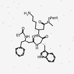 CCCCCN(C)C(=O)CC(CCCCN)NC(=O)[C@H](Cc1c[nH]c2ccccc12)NC(=O)C[C@@H](Cc1ccccc1)NC(=O)CC